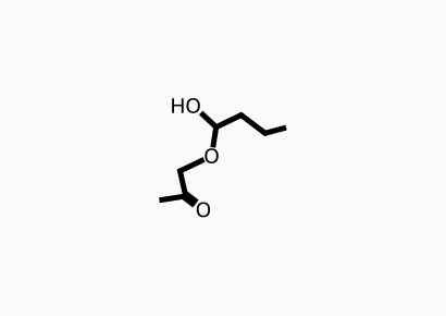 CCCC(O)OCC(C)=O